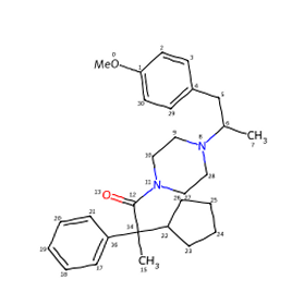 COc1ccc(CC(C)N2CCN(C(=O)C(C)(c3ccccc3)C3CCCC3)CC2)cc1